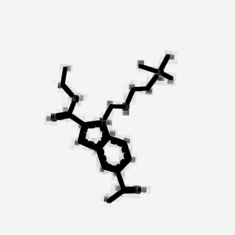 CCOC(=O)c1cc2cc(C(C)=O)ccc2n1COCC[Si](C)(C)C